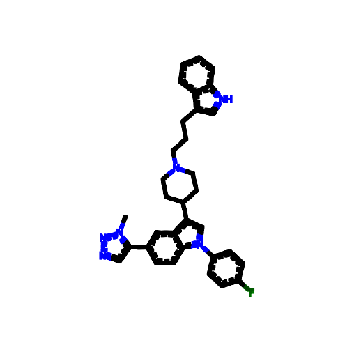 Cn1nncc1-c1ccc2c(c1)c(C1CCN(CCCc3c[nH]c4ccccc34)CC1)cn2-c1ccc(F)cc1